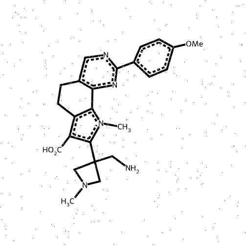 COc1ccc(-c2ncc3c(n2)-c2c(c(C(=O)O)c(C4(CN)CN(C)C4)n2C)CC3)cc1